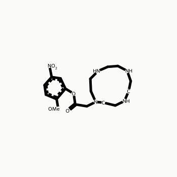 COc1ccc([N+](=O)[O-])cc1OC(=O)CN1CCNCCNCCNCC1